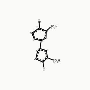 O=S(=O)(O)c1cc(-c2ccc(Br)c(S(=O)(=O)O)c2)ccc1Br